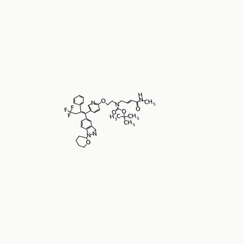 CNC(=O)/C=C/CN(CCOc1ccc(/C(=C(/CC(F)(F)F)c2ccccc2)c2ccc3c(cnn3C3CCCCO3)c2)cn1)C(=O)OC(C)(C)C